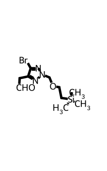 C[Si](C)(C)CCOCn1nc(Br)c(CC=O)n1